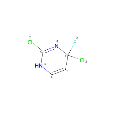 FC1(Cl)C=CNC(Cl)=N1